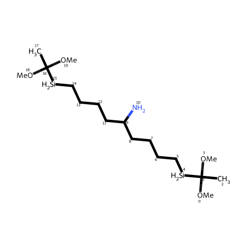 COC(C)(OC)[SiH2]CCCCC(N)CCCC[SiH2]C(C)(OC)OC